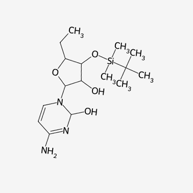 CCC1OC(N2C=CC(N)=NC2O)C(O)C1O[Si](C)(C)C(C)(C)C